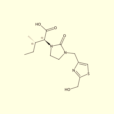 CC[C@H](C)[C@@H](C(=O)O)N1CCN(Cc2csc(CO)n2)C1=O